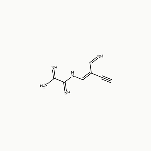 C#C/C(C=N)=C/NC(=N)C(=N)N